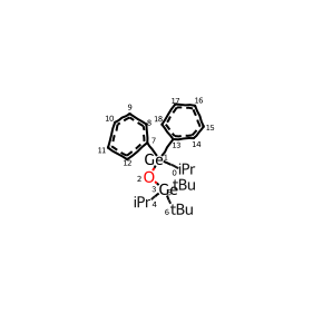 C[CH](C)[Ge]([O][Ge]([CH](C)C)([C](C)(C)C)[C](C)(C)C)([c]1ccccc1)[c]1ccccc1